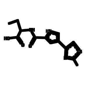 CCC(NC(=O)c1cc(-c2csc(C)n2)c[nH]1)C(=O)O